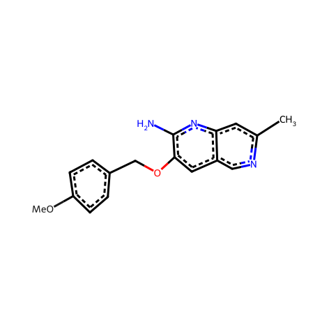 COc1ccc(COc2cc3cnc(C)cc3nc2N)cc1